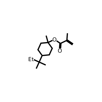 C=C(C)C(=O)OC1(C)CCC(C(C)(C)CC)CC1